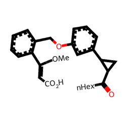 CCCCCCC(=O)C1CC1c1cccc(OCc2ccccc2/C(=C/C(=O)O)OC)c1